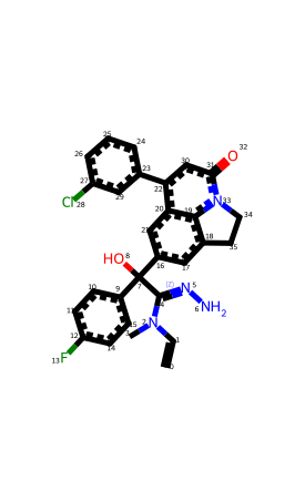 C=CN(C)/C(=N\N)C(O)(c1ccc(F)cc1)c1cc2c3c(c1)c(-c1cccc(Cl)c1)cc(=O)n3CC2